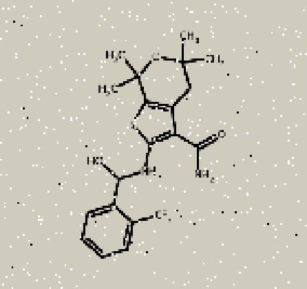 CC1(C)Cc2c(sc(NC(O)c3ccccc3C(F)(F)F)c2C(N)=O)C(C)(C)O1